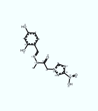 CN(/N=C/c1ccc(O)cc1O)C(=O)Cn1cnc([N+](=O)O)n1